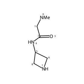 CNCC(=O)NC1CNC1